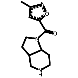 Cc1cc(C(=O)N2CCC3CNCCC32)on1